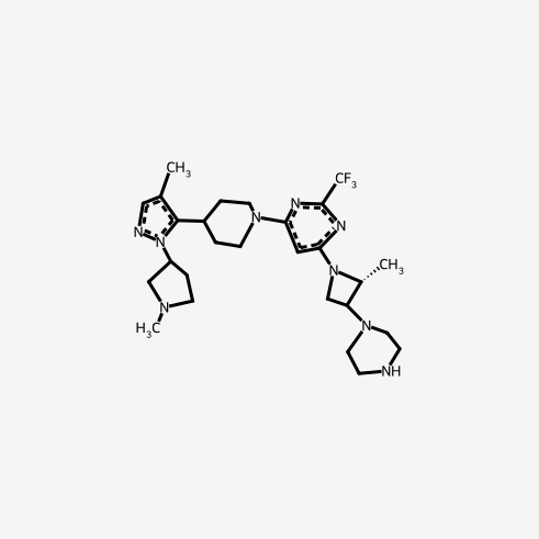 Cc1cnn(C2CCN(C)C2)c1C1CCN(c2cc(N3CC(N4CCNCC4)[C@H]3C)nc(C(F)(F)F)n2)CC1